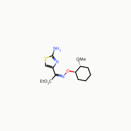 CCOC(=O)C(=NO[C@@H]1CCCC[C@H]1OC)c1csc(N)n1